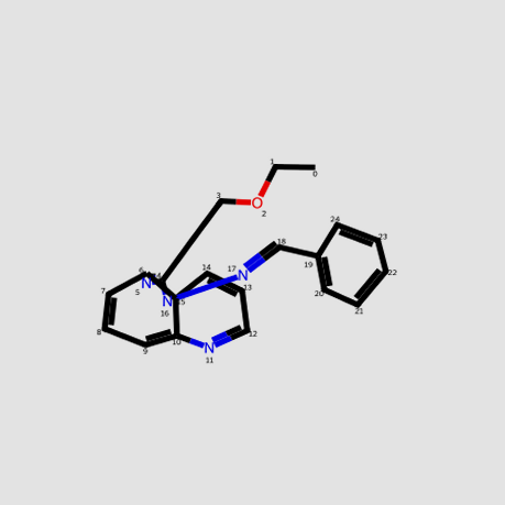 CCOCC1N=C2C=CC=C3N=CC=CC32N1N=Cc1ccccc1